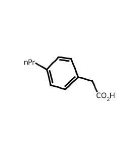 CCCc1ccc(CC(=O)O)cc1